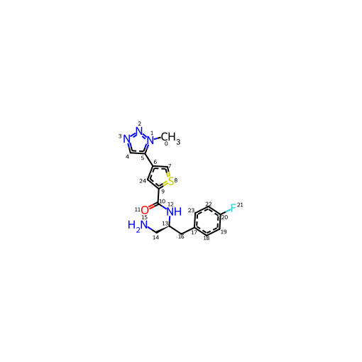 Cn1nncc1-c1csc(C(=O)N[C@H](CN)Cc2ccc(F)cc2)c1